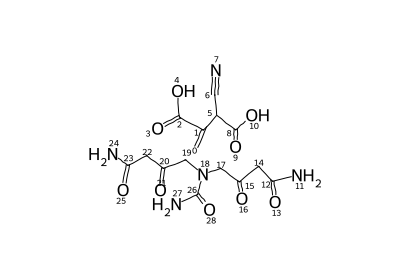 C=C(C(=O)O)C(C#N)C(=O)O.NC(=O)CC(=O)CN(CC(=O)CC(N)=O)C(N)=O